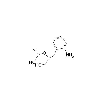 CC(O)OC(CO)Cc1ccccc1N